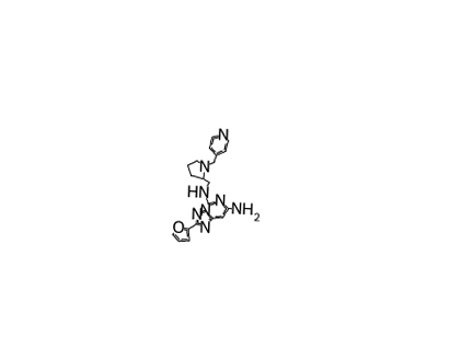 Nc1cc2nc(-c3ccco3)nn2c(NCC2CCCN2Cc2ccncc2)n1